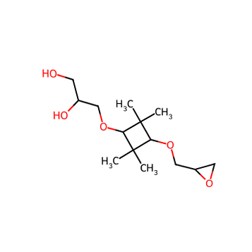 CC1(C)C(OCC(O)CO)C(C)(C)C1OCC1CO1